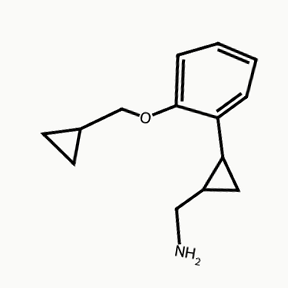 NCC1CC1c1ccccc1OCC1CC1